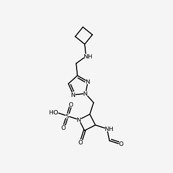 O=CNC1C(=O)N(S(=O)(=O)O)C1Cn1ncc(CNC2CCC2)n1